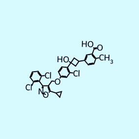 Cc1ccc(C2CC(O)(c3ccc(OCc4c(-c5c(Cl)cccc5Cl)noc4C4CC4)cc3Cl)C2)cc1C(=O)O